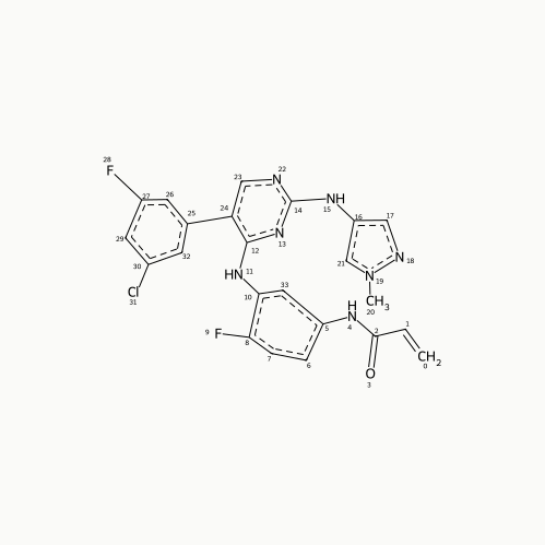 C=CC(=O)Nc1ccc(F)c(Nc2nc(Nc3cnn(C)c3)ncc2-c2cc(F)cc(Cl)c2)c1